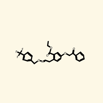 CCOC(=O)c1cc(OCC(=O)c2ccccc2)ccc1CC=NOCc1ccc(C(F)(F)F)cc1